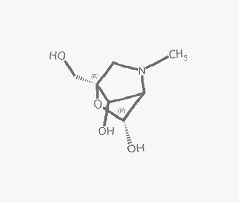 CN1C[C@]2(CO)O[C@@H](O)C1C2O